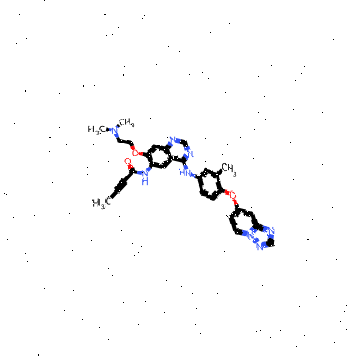 CC#CC(=O)Nc1cc2c(Nc3ccc(Oc4ccn5ncnc5c4)c(C)c3)ncnc2cc1OCCN(C)C